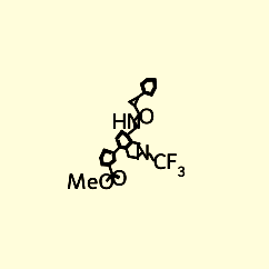 COC(=O)c1cccc(-c2ccc(CNC(=O)C3CC3c3ccccc3)c3c2CCN(CCC(F)(F)F)C3)c1